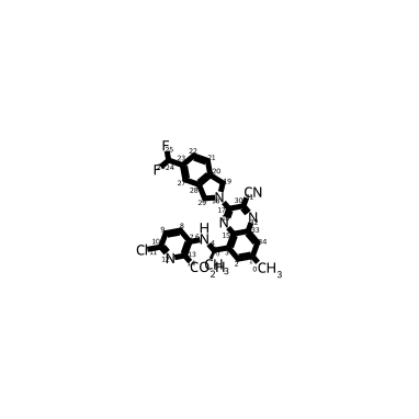 Cc1cc([C@@H](C)Nc2ccc(Cl)nc2C(=O)O)c2nc(N3Cc4ccc(C(F)F)cc4C3)c(C#N)nc2c1